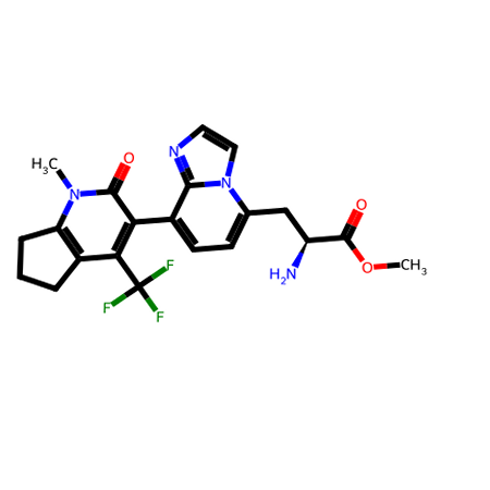 COC(=O)[C@@H](N)Cc1ccc(-c2c(C(F)(F)F)c3c(n(C)c2=O)CCC3)c2nccn12